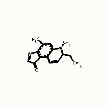 CN1c2cc(C(F)(F)F)c3c(c2C=CC1CC(F)(F)F)C(=O)C=N3